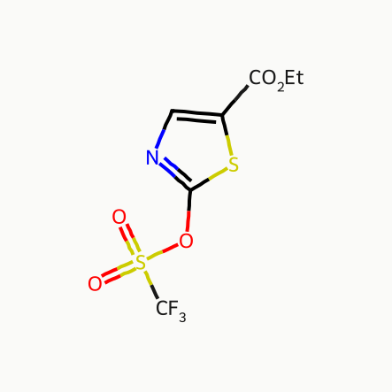 CCOC(=O)c1cnc(OS(=O)(=O)C(F)(F)F)s1